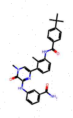 Cc1c(NC(=O)c2ccc(C(C)(C)C)cc2)cccc1-c1cn(C)c(=O)c(Nc2cccc(C(N)=O)c2)n1